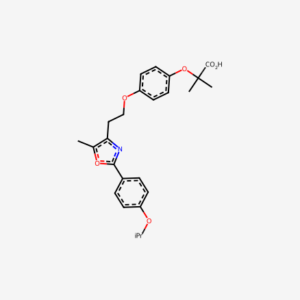 Cc1oc(-c2ccc(OC(C)C)cc2)nc1CCOc1ccc(OC(C)(C)C(=O)O)cc1